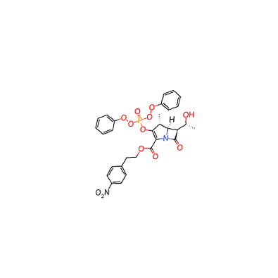 C[C@@H](O)[C@H]1C(=O)N2C(C(=O)OCCc3ccc([N+](=O)[O-])cc3)=C(OP(=O)(OOc3ccccc3)OOc3ccccc3)[C@H](C)[C@@H]12